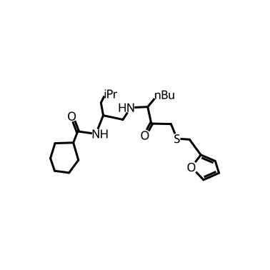 CCCCC(NCC(CC(C)C)NC(=O)C1CCCCC1)C(=O)CSCc1ccco1